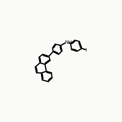 Ic1ccc(Nc2ccc(-c3ccc4ccc5ccccc5c4c3)cc2)cc1